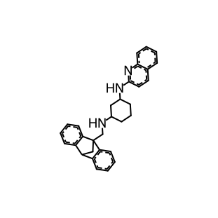 c1ccc2c(c1)C1CC2(CNC2CCCC(Nc3ccc4ccccc4n3)C2)c2ccccc21